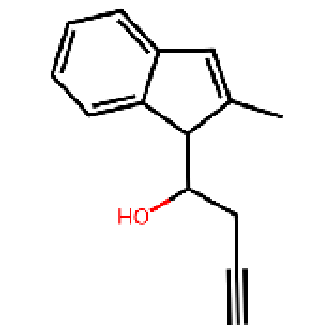 C#CCC(O)C1C(C)=Cc2ccccc21